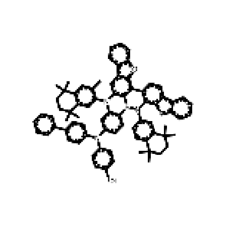 Cc1cc2c(cc1N1c3cc(N(c4ccc(-c5ccccc5)cc4)c4ccc(C(C)(C)C)cc4)ccc3B3c4c1cc1c(oc5ccccc51)c4-c1ccc4c(sc5ccccc54)c1N3c1ccc3c(c1)C(C)(C)CCC3(C)C)C(C)(C)CCC2(C)C